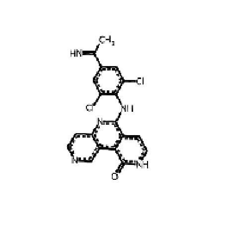 CC(=N)c1cc(Cl)c(Nc2nc3ccncc3c3c(=O)[nH]ccc23)c(Cl)c1